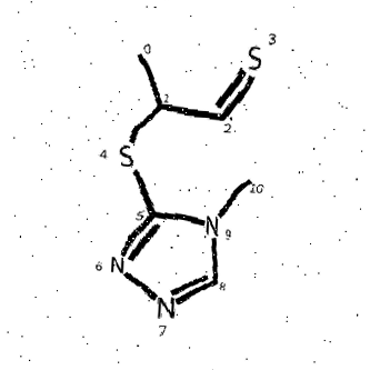 CC([C]=S)Sc1nncn1C